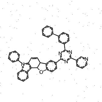 C1=CC2c3cc(-c4nc(-c5cccnc5)nc(-c5cccc(-c6ccccc6)c5)n4)ccc3OC2c2c1n(-c1ccccc1)c1ccccc21